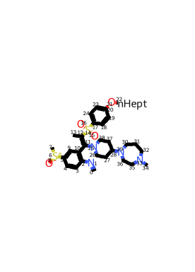 C=Nc1ccc([S+](C)[O-])cc1/C(=C(\C)S(=O)(=O)c1ccc(OCCCCCCC)cc1)N1CCC(N2CCCN(C)CC2)CC1